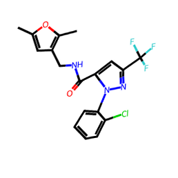 Cc1cc(CNC(=O)c2cc(C(F)(F)F)nn2-c2ccccc2Cl)c(C)o1